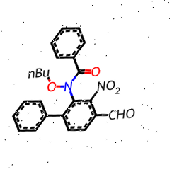 CCCCON(C(=O)c1ccccc1)c1c(-c2ccccc2)ccc(C=O)c1[N+](=O)[O-]